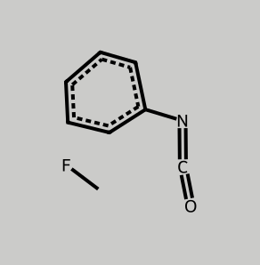 CF.O=C=Nc1ccccc1